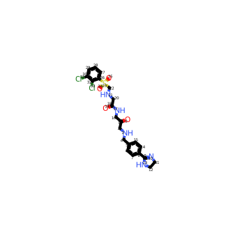 O=C(CNCc1ccc(C2=NCCN2)cc1)CNC(=O)CNCS(=O)(=O)c1cccc(Cl)c1Cl